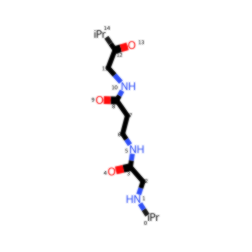 CC(C)NCC(=O)NCCC(=O)NCC(=O)C(C)C